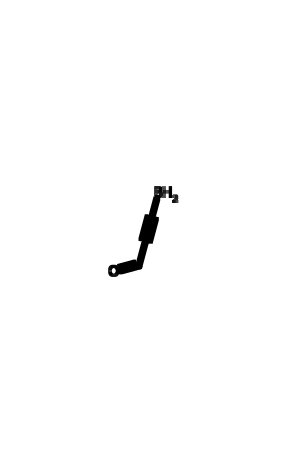 BC#CC=O